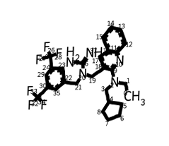 CCN(CC1CCCC1)c1nc2ccccc2cc1CN(Cc1cc(C(F)(F)F)cc(C(F)(F)F)c1)C(=N)N